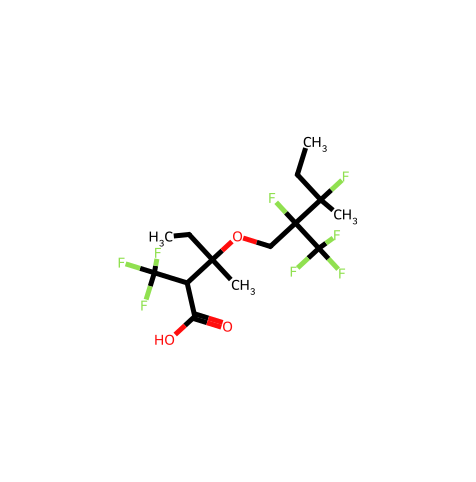 CCC(C)(OCC(F)(C(F)(F)F)C(C)(F)CC)C(C(=O)O)C(F)(F)F